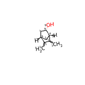 C=C1C(=C)[C@@H]2C[C@H]1C[C@@H]2O